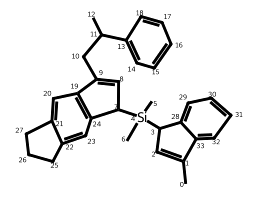 CC1=CC([Si](C)(C)C2C=C(CC(C)c3ccccc3)c3cc4c(cc32)CCC4)c2ccccc21